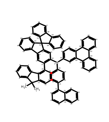 CC1(C)c2ccccc2-c2c(-c3cc4c(cc3N(c3ccc(-c5cccc6ccccc56)cc3)c3ccc5c6ccccc6c6ccccc6c5c3)C3(c5ccccc5-c5ccccc53)c3ccccc3-4)cccc21